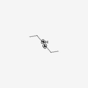 CCCCCCCC/C=C\CCCCCCCC(=O)OC(=N)CCC(=O)OC(=O)CCCCCCC/C=C\CCCCCCCC